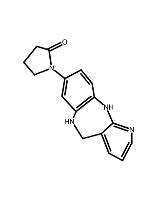 O=C1CCCN1c1ccc2c(c1)NCc1cccnc1N2